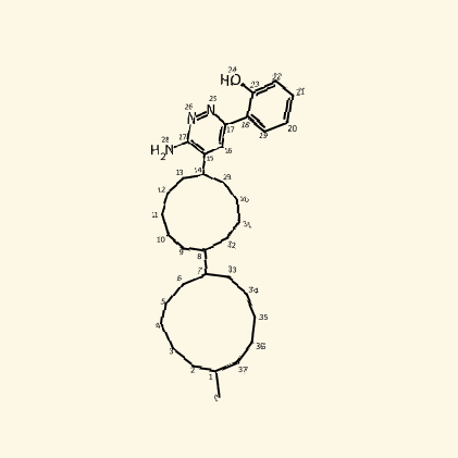 CC1CCCCCC(C2CCCCCC(c3cc(-c4ccccc4O)nnc3N)CCCC2)CCCCC1